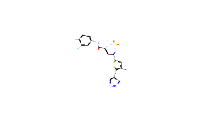 Cc1cc(C2=NS(=O)(=O)N(C)C(C(=O)Nc3ccc(F)c(Cl)c3)=C2)sc1-c1cnn(C)c1